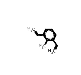 C=[C]c1cccc(C=C)c1C(F)(F)F